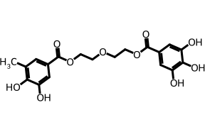 Cc1cc(C(=O)OCCOCCOC(=O)c2cc(O)c(O)c(O)c2)cc(O)c1O